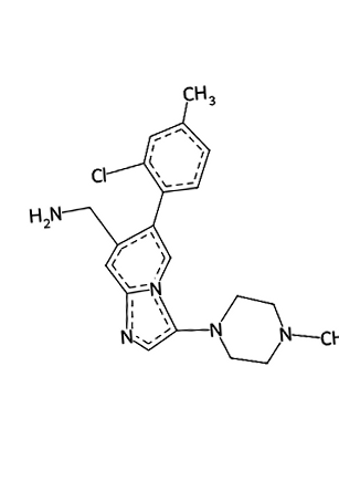 Cc1ccc(-c2cn3c(N4CCN(C)CC4)cnc3cc2CN)c(Cl)c1